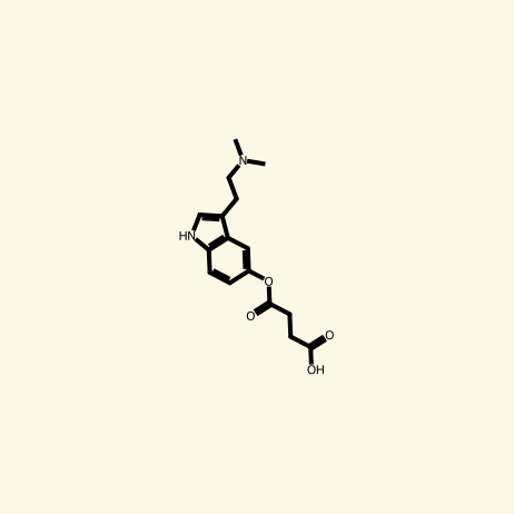 CN(C)CCc1c[nH]c2ccc(OC(=O)CCC(=O)O)cc12